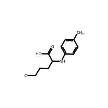 Cc1ccc(NC(CCCCl)C(=O)O)cc1